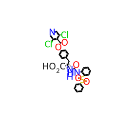 O=C(Nc1ccccc1S(=O)(=O)c1ccccc1)N[C@@H](Cc1ccc(OC(=O)c2c(Cl)cncc2Cl)cc1)C(=O)O